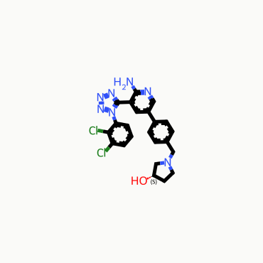 Nc1ncc(-c2ccc(CN3CC[C@H](O)C3)cc2)cc1-c1nnnn1-c1cccc(Cl)c1Cl